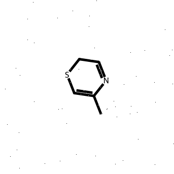 CC1=CSCC=N1